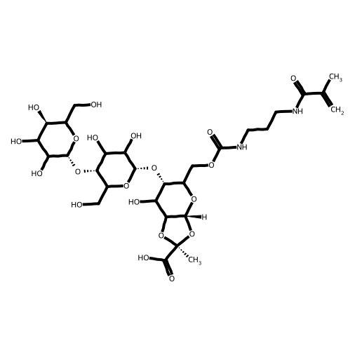 C=C(C)C(=O)NCCCNC(=O)OCC1O[C@@H]2O[C@@](C)(C(=O)O)OC2C(O)[C@@H]1O[C@@H]1OC(CO)[C@H](O[C@H]2OC(CO)[C@H](O)C(O)C2O)C(O)C1O